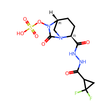 O=C(NNC(=O)[C@@H]1CC[C@@H]2CN1C(=O)N2OS(=O)(=O)O)C1CC1(F)F